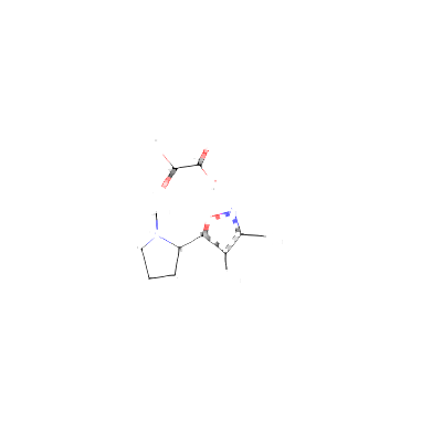 Cc1noc(C2CCCN2C)c1C.O=C(O)C(=O)O